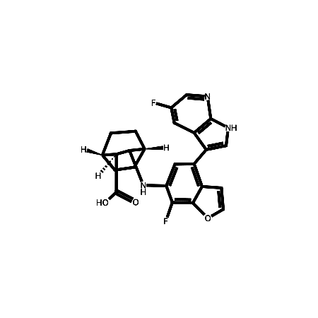 O=C(O)[C@@H]1C(Nc2cc(-c3c[nH]c4ncc(F)cc34)c3ccoc3c2F)[C@H]2CC[C@@H]1CC2